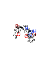 CC(C)Oc1ccc(Br)c(CC2CCN(Cc3cc(=O)n(C4CCCCC4)c(=O)[nH]3)CC2)c1